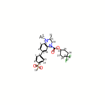 CC(=O)N1c2ccc(-c3ccc(S(C)(=O)=O)cc3)cc2N(C(=O)OC2CCC(F)(F)CC2)C[C@@H]1C